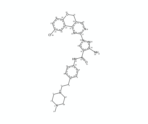 CN1CCN(CCc2ccc(NC(=O)c3cn(-c4ncc5c(n4)-c4cc(Cl)ccc4OC5)nc3N)cc2)CC1